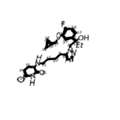 CC[C@@](O)(Cn1nncc1CCCCNC1CCC(=O)NC1=O)c1ccc(F)c(OCC2CC2)c1